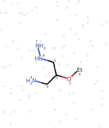 CCOC(CN)CNN